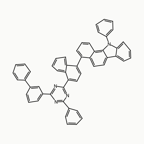 c1ccc(-c2cccc(-c3nc(-c4ccccc4)nc(-c4ccc(-c5cccc6c5ccc5c7ccccc7n(-c7ccccc7)c65)c5ccccc45)n3)c2)cc1